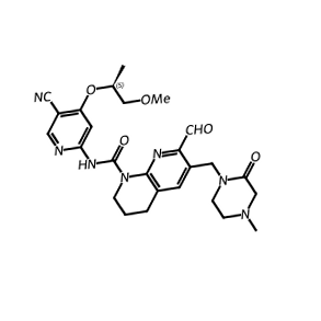 COC[C@H](C)Oc1cc(NC(=O)N2CCCc3cc(CN4CCN(C)CC4=O)c(C=O)nc32)ncc1C#N